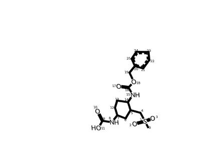 CS(=O)(=O)CC1CC(NC(=O)O)CCC1NC(=O)OCc1ccccc1